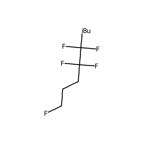 CCC(C)C(F)(F)C(F)(F)CCCF